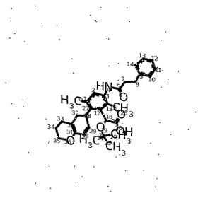 Cc1cc(NC(=O)CCc2ccccc2)c(C)c(C(OC(C)(C)C)C(=O)O)c1C1C=CC2=C(CCCO2)C1